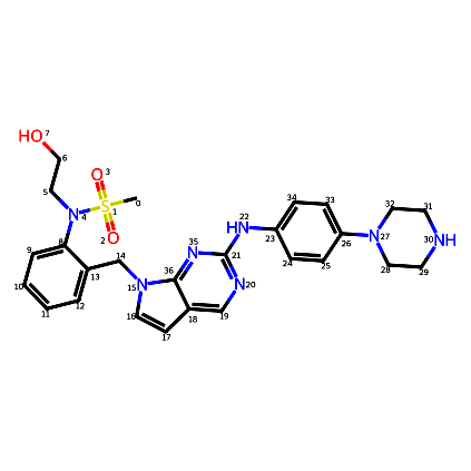 CS(=O)(=O)N(CCO)c1ccccc1Cn1ccc2cnc(Nc3ccc(N4CCNCC4)cc3)nc21